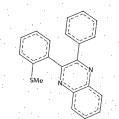 CSc1ccccc1-c1nc2ccccc2nc1-c1ccccc1